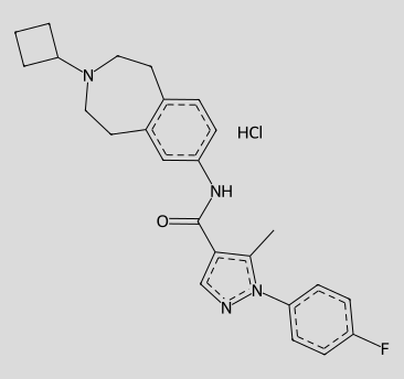 Cc1c(C(=O)Nc2ccc3c(c2)CCN(C2CCC2)CC3)cnn1-c1ccc(F)cc1.Cl